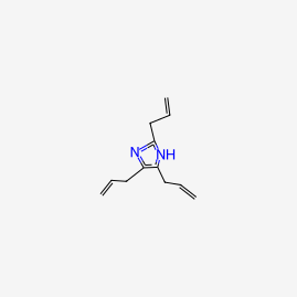 C=CCc1nc(CC=C)c(CC=C)[nH]1